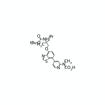 CC(C)CC(C)(COc1ccc(-c2ccnc(N(C)C(=O)O)c2)c2scnc12)NC(=O)OC(C)(C)C